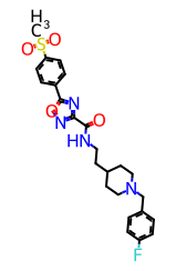 CS(=O)(=O)c1ccc(-c2nc(C(=O)NCCC3CCN(Cc4ccc(F)cc4)CC3)no2)cc1